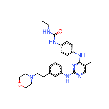 CCNC(=O)Nc1ccc(Nc2nc(Nc3cccc(CCN4CCOCC4)c3)ncc2C)cc1